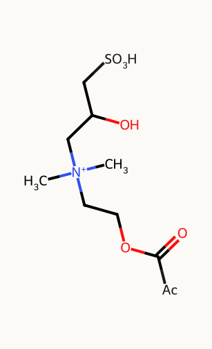 CC(=O)C(=O)OCC[N+](C)(C)CC(O)CS(=O)(=O)O